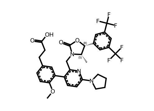 COc1ccc(CCC(=O)O)cc1-c1ccc(N2CCCC2)nc1CN1C(=O)O[C@H](c2cc(C(F)(F)F)cc(C(F)(F)F)c2)[C@@H]1C